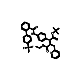 CCOC(=O)C(Cc1ccccn1)N(C(=O)OC(C)(C)C)c1ccc(NC(=O)c2ccccc2-c2ccc(C(F)(F)F)cc2)cc1